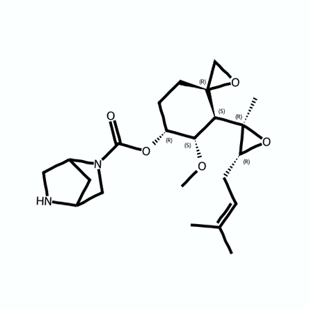 CO[C@@H]1[C@H](OC(=O)N2CC3CC2CN3)CC[C@]2(CO2)[C@H]1[C@@]1(C)O[C@@H]1CC=C(C)C